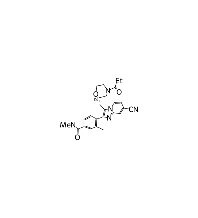 CCC(=O)N1CCO[C@@H](Cc2c(-c3ccc(C(=O)NC)cc3C)nc3cc(C#N)ccn23)C1